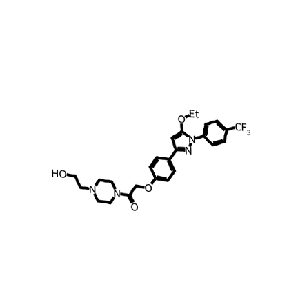 CCOc1cc(-c2ccc(OCC(=O)N3CCN(CCO)CC3)cc2)nn1-c1ccc(C(F)(F)F)cc1